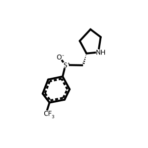 [O-][S+](C[C@@H]1CCCN1)c1ccc(C(F)(F)F)cc1